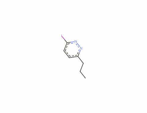 CCCc1ccc(I)nn1